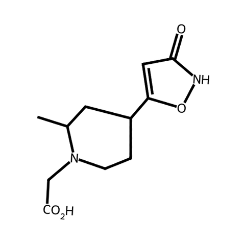 CC1CC(c2cc(=O)[nH]o2)CCN1CC(=O)O